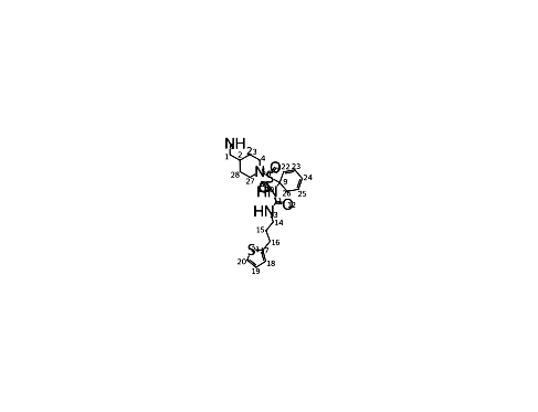 NCC1CCN(S(=O)(=O)C2(NC(=O)NCCCc3cccs3)C=CC=CC2)CC1